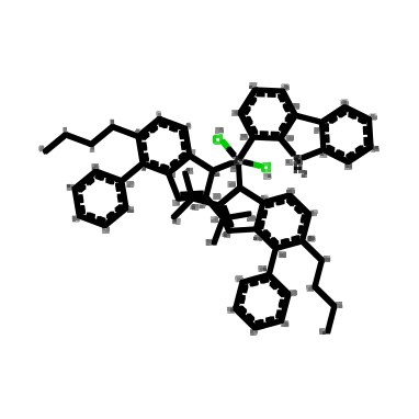 CCCCc1ccc2c(c1-c1ccccc1)C=C(C(C)C)[CH]2[Zr]([Cl])([Cl])([c]1cccc2c1[SiH2]c1ccccc1-2)[CH]1C(C(C)C)=Cc2c1ccc(CCCC)c2-c1ccccc1